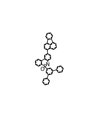 O=S1(c2cc(-c3ccccc3)cc(-c3ccccc3)c2)=Nc2ccc(-c3ccc4c5c(cccc35)-c3ccccc3-4)cc2-c2ccccc21